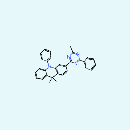 Cc1nc(-c2ccccc2)nc(-c2ccc3c(c2)N(c2ccccc2)c2ccccc2C3(C)C)n1